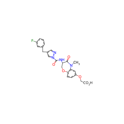 CN1C(=O)C(NC(=O)n2cc(Cc3cccc(F)c3)cn2)COc2ccc(OCC(=O)O)cc21